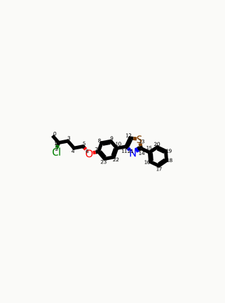 CC(Cl)CCCOc1ccc(-c2csc(-c3ccccc3)n2)cc1